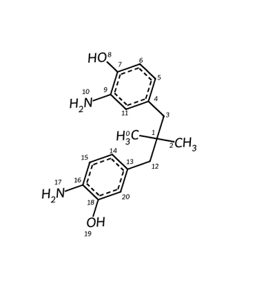 CC(C)(Cc1ccc(O)c(N)c1)Cc1ccc(N)c(O)c1